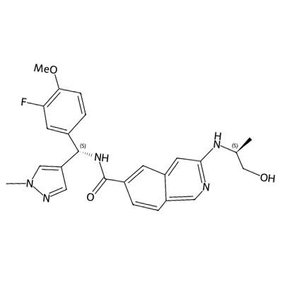 COc1ccc([C@H](NC(=O)c2ccc3cnc(N[C@@H](C)CO)cc3c2)c2cnn(C)c2)cc1F